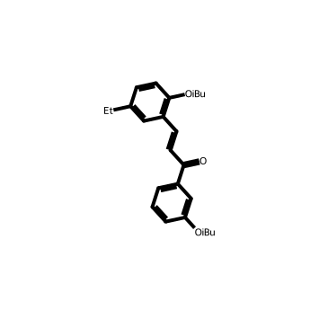 CCc1ccc(OCC(C)C)c(C=CC(=O)c2cccc(OCC(C)C)c2)c1